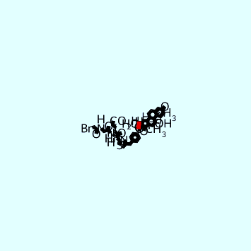 C[C@]12C=CC(=O)C=C1CC[C@@H]1[C@@H]2[C@@H](O)C[C@@]2(C)[C@H]1C[C@H]1O[C@@H](c3ccc(Cc4csc(NC(=O)[C@H](CCC(=O)O)NC(=O)CNC(=O)CBr)n4)cc3)O[C@]12C(=O)CO